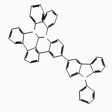 c1ccc(N2c3ccccc3-c3cccc4c3C2N(c2ccccc2)c2ccc(-c3ccc5c(c3)c3ccccc3n5-c3ccccc3)cc2-4)cc1